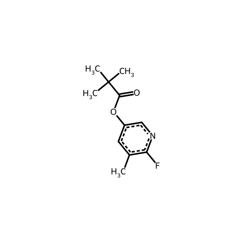 Cc1cc(OC(=O)C(C)(C)C)cnc1F